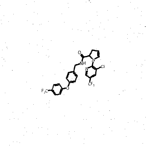 O=C(NCc1ccc(Oc2ccc(C(F)(F)F)cc2)cc1)C1CC=CN1c1ncc(C(F)(F)F)cc1Cl